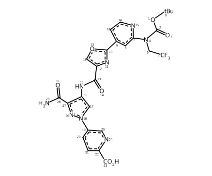 CC(C)(C)OC(=O)N(CC(F)(F)F)c1cc(-c2nc(C(=O)Nc3cn(-c4ccc(C(=O)O)nc4)nc3C(N)=O)co2)ccn1